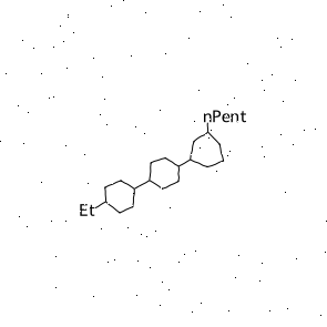 CCCCCC1CCCC(C2CCC(C3CCC(CC)CC3)CC2)C1